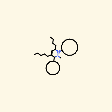 CCCCCC1=CC(CCCC)N(C2CCCCCCCCCCCC2)N(C)C1C1CCCCCCCCCC1